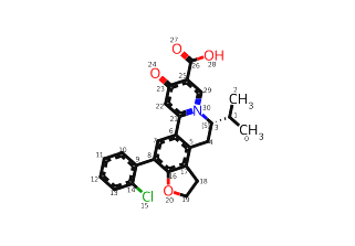 CC(C)[C@@H]1Cc2c(cc(-c3ccccc3Cl)c3c2CCO3)-c2cc(=O)c(C(=O)O)cn21